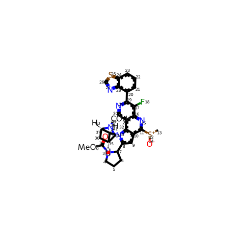 COC(=O)N1CCCC1c1cc2c([S+](C)[O-])nc3c(F)c(-c4cccc5scnc45)ncc3c2n1[C@H]1[C@@H]2C[C@H]1N(C(=O)O)C2